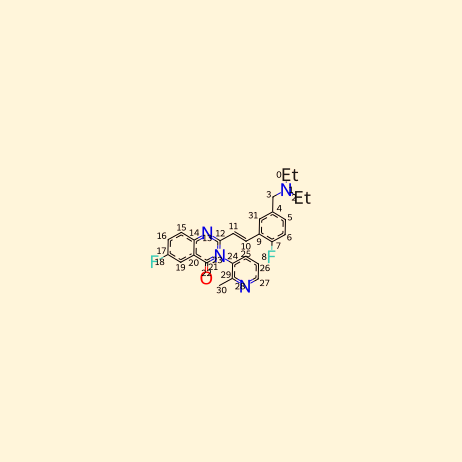 CCN(CC)Cc1ccc(F)c(C=Cc2nc3ccc(F)cc3c(=O)n2-c2cccnc2C)c1